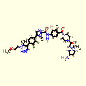 COCCN/C(C)=C(\C=N)c1ccc(-c2cnc(C(=O)Nc3ccc(C(=O)N4CCN(C(=O)C[N+]5(C)CCC(N)C5)CC4)c(C)c3)n2C)c(F)c1F